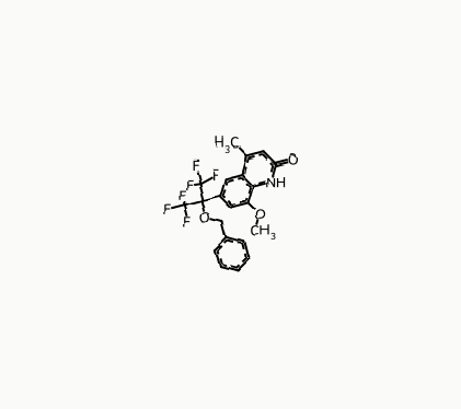 COc1cc(C(OCc2ccccc2)(C(F)(F)F)C(F)(F)F)cc2c(C)cc(=O)[nH]c12